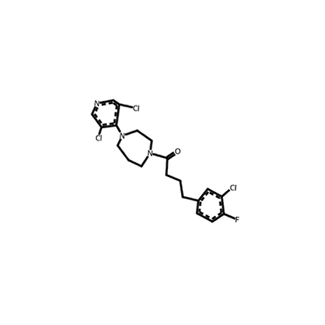 O=C(CCCc1ccc(F)c(Cl)c1)N1CCCN(c2c(Cl)cncc2Cl)CC1